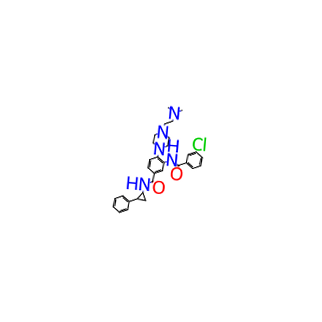 CN(C)CCN1CCN(c2ccc(C(=O)NC3CC3c3ccccc3)cc2NC(=O)c2cccc(Cl)c2)CC1